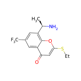 CCSc1cc(=O)c2cc(C(F)(F)F)cc([C@@H](C)N)c2o1